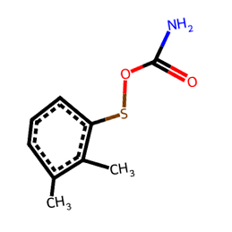 Cc1cccc(SOC(N)=O)c1C